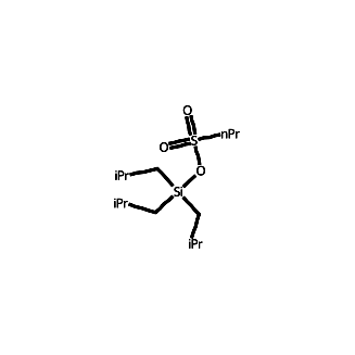 CCCS(=O)(=O)O[Si](CC(C)C)(CC(C)C)CC(C)C